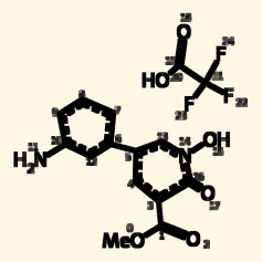 COC(=O)c1cc(-c2cccc(N)c2)cn(O)c1=O.O=C(O)C(F)(F)F